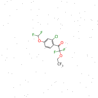 O=C(c1ccc(OC(F)F)cc1Cl)C(F)(F)OCC(F)(F)F